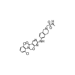 CNS(=O)(=O)CN1CCc2cc(Nc3ncc4c(n3)OCN(c3c(Cl)cccc3Cl)C4=O)ccc2C1